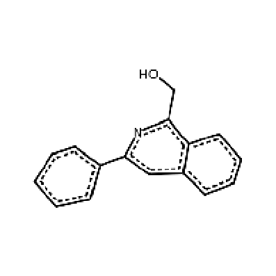 OCc1nc(-c2ccccc2)cc2ccccc12